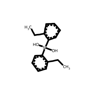 CCc1ccccc1[Si](O)(O)c1ccccc1CC